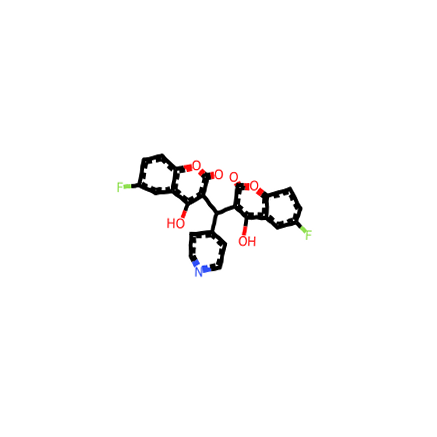 O=c1oc2ccc(F)cc2c(O)c1C(c1ccncc1)c1c(O)c2cc(F)ccc2oc1=O